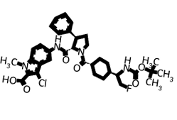 Cn1c(C(=O)O)c(Cl)c2cc(NC(=O)[C@@H]3[C@@H](c4ccccc4)CCN3C(=O)[C@H]3CC[C@H](C(CF)NC(=O)OC(C)(C)C)CC3)ccc21